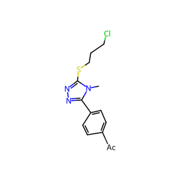 CC(=O)c1ccc(-c2nnc(SCCCCl)n2C)cc1